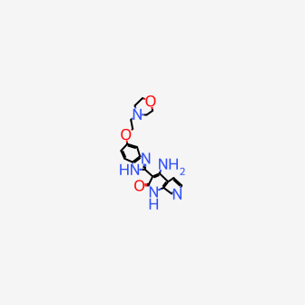 Nc1c(-c2nc3cc(OCCN4CCOCC4)ccc3[nH]2)c(=O)[nH]c2cnccc12